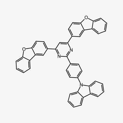 c1ccc2c(c1)oc1ccc(-c3cc(-c4ccc5oc6ccccc6c5c4)nc(-c4ccc(-n5c6ccccc6c6ccccc65)cc4)n3)cc12